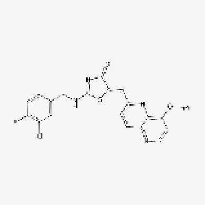 CC(C)Oc1ccnc2ccc(/C=C3\SC(NCc4ccc(F)c(Cl)c4)=NC3=O)nc12